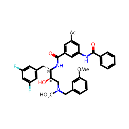 COc1cccc(CN(C[C@@H](O)[C@H](Cc2cc(F)cc(F)c2)NC(=O)c2cc(NC(=O)c3ccccc3)cc(C(C)=O)c2)C(=O)O)c1